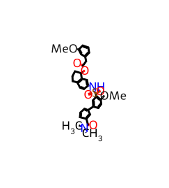 COc1cccc(CC(=O)OC2CCCc3ccc(NS(=O)(=O)c4cc(-c5cccc(C(=O)N(C)C)c5)ccc4OC)cc32)c1